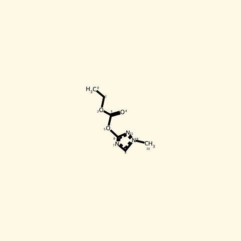 CCOC(=O)Oc1ncn(C)n1